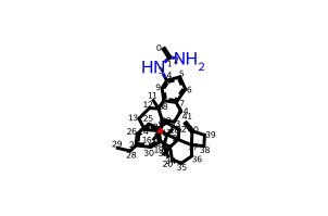 C=C(N)Nc1ccc2c(c1)C1(C)CCCC(C)(C(C)(CC)C34CCc5ccc(CC)cc5C3(C)CCCC43CCC3=C)C1CC2